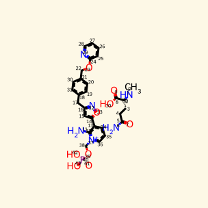 CN[C@H](CCC(N)=O)C(=O)O.Nc1c(-c2cc(Cc3ccc(COc4ccccn4)cc3)no2)ccc[n+]1COP(=O)(O)O